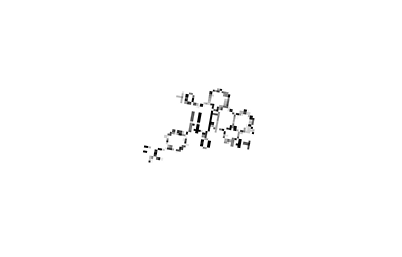 O=C(Nc1ccc(C(F)(F)F)cc1)Nc1c[nH]c2nccc(-c3cccc(CO)c3)c12